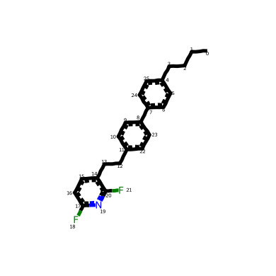 CCCCc1ccc(-c2ccc(CCc3ccc(F)nc3F)cc2)cc1